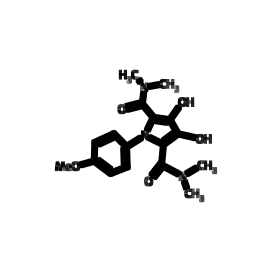 COc1ccc(-n2c(C(=O)N(C)C)c(O)c(O)c2C(=O)N(C)C)cc1